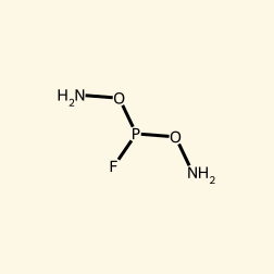 NOP(F)ON